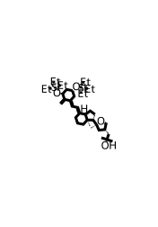 C=C1/C(=C/C=C2\CCC[C@@]3(C)[C@H]2CC[C@@H]3[C@]2(C)C[C@@H](CC(C)(C)O)CO2)CC(O[Si](CC)(CC)CC)C[C@@H]1O[Si](CC)(CC)CC